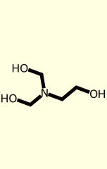 OCCN(CO)CO